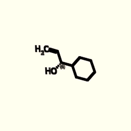 C=C[C@@H](O)C1CCCCC1